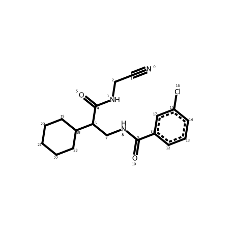 N#CCNC(=O)C(CNC(=O)c1cccc(Cl)c1)C1CCCCC1